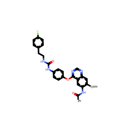 COc1cc2ncnc(Oc3ccc(NC(=O)NCCc4ccc(F)cc4)cc3)c2cc1NC(=O)C(C)C